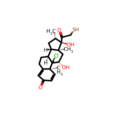 C[C@H]1C[C@H]2[C@@H]3CCC4=CC(=O)C=C[C@]4(C)C3(Cl)[C@@H](O)C[C@]2(C)[C@@]1(O)C(=O)CS